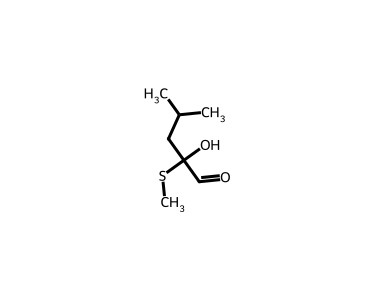 CSC(O)(C=O)CC(C)C